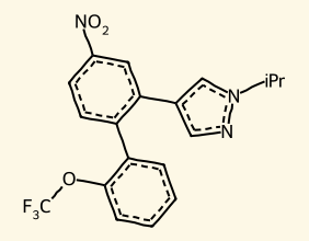 CC(C)n1cc(-c2cc([N+](=O)[O-])ccc2-c2ccccc2OC(F)(F)F)cn1